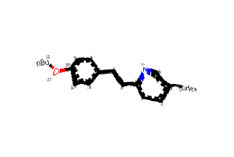 CCCCCCc1ccc(CCc2ccc(OCCCC)cc2)nc1